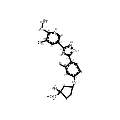 [2H]C1(C(=O)O)CCC(Nc2ccc(-c3nc(-c4cnc(OC(C)C)c(Cl)c4)no3)c(C)c2)C1